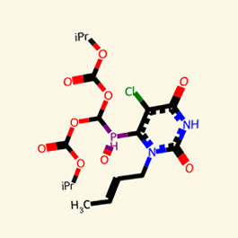 CC=CCn1c([PH](=O)C(OC(=O)OC(C)C)OC(=O)OC(C)C)c(Cl)c(=O)[nH]c1=O